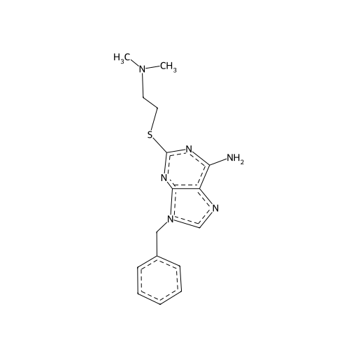 CN(C)CCSc1nc(N)c2ncn(Cc3ccccc3)c2n1